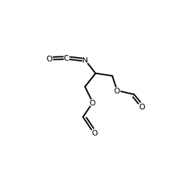 O=C=NC(COC=O)COC=O